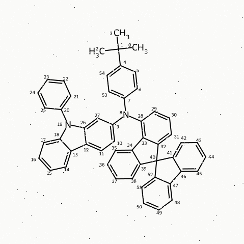 CC(C)(C)c1ccc(N(c2ccc3c4ccccc4n(-c4ccccc4)c3c2)c2cccc3c2-c2ccccc2C32c3ccccc3-c3ccccc32)cc1